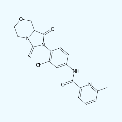 Cc1cccc(C(=O)Nc2ccc(N3C(=O)C4COCCN4C3=S)c(Cl)c2)n1